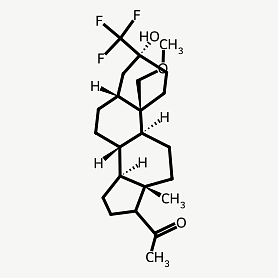 COC[C@]12CC[C@](O)(C(F)(F)F)C[C@H]1CC[C@@H]1[C@@H]2CC[C@]2(C)C(C(C)=O)CC[C@@H]12